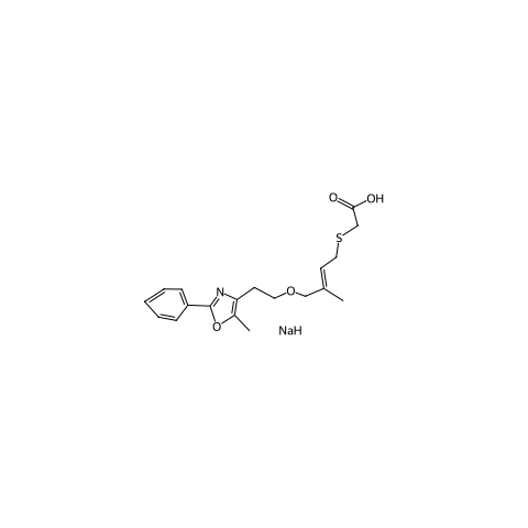 CC(=CCSCC(=O)O)COCCc1nc(-c2ccccc2)oc1C.[NaH]